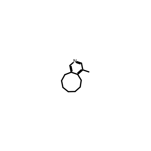 Cc1cncc2c1CCCCCCC2